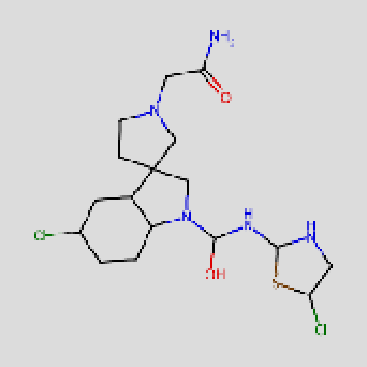 NC(=O)CN1CCC2(C1)CN(C(O)NC1NCC(Cl)S1)C1CCC(Cl)CC12